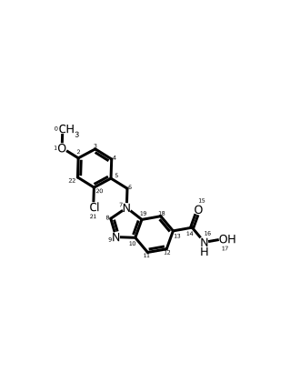 COc1ccc(Cn2cnc3ccc(C(=O)NO)cc32)c(Cl)c1